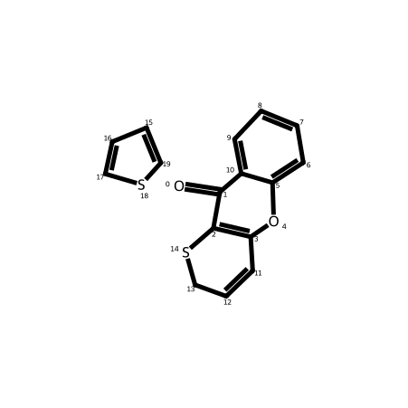 O=c1c2c(oc3ccccc13)C=CCS2.c1ccsc1